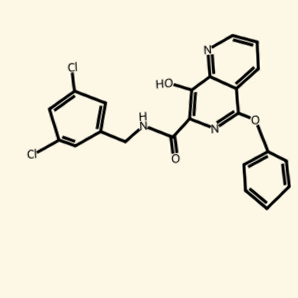 O=C(NCc1cc(Cl)cc(Cl)c1)c1nc(Oc2ccccc2)c2cccnc2c1O